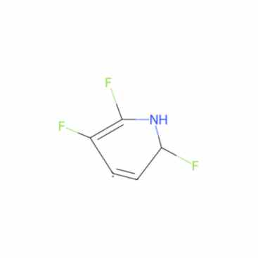 FC1=C(F)NC(F)C=[C]1